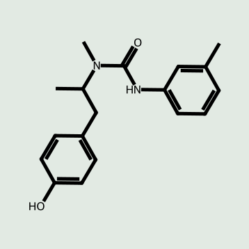 Cc1cccc(NC(=O)N(C)C(C)Cc2ccc(O)cc2)c1